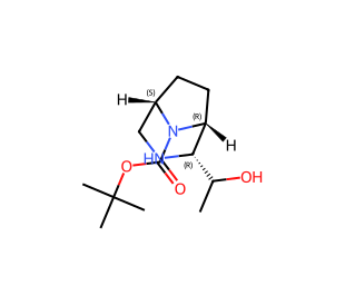 CC(O)[C@@H]1NC[C@@H]2CC[C@H]1N2C(=O)OC(C)(C)C